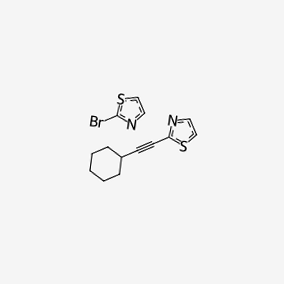 Brc1nccs1.C(#CC1CCCCC1)c1nccs1